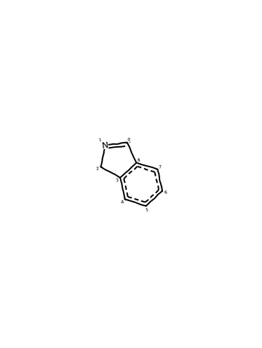 [C]1=NCc2ccccc21